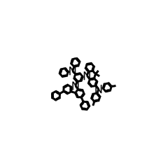 Cc1ccc(N(c2ccc(C)cc2)c2ccc3c(c2)C(C)(C)c2ccccc2N3c2cc(N(c3ccccc3)c3ccccc3)cc(-n3c4ccc(-c5ccccc5)cc4c4cc(-c5ccccc5)ccc43)c2)cc1